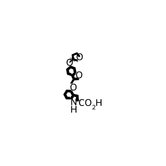 O=C(O)c1cc2c(OCc3coc4cc(O[C@H]5CCOC5)ccc34)cccc2[nH]1